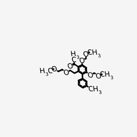 COCCOCCc1c(C(C)=O)c(OCOC)cc(OCOC)c1-c1cccc(C)c1